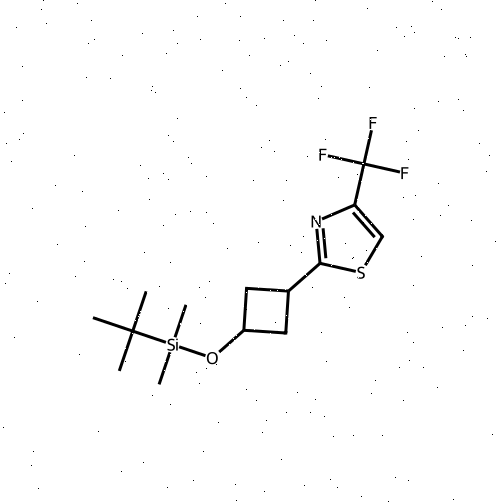 CC(C)(C)[Si](C)(C)OC1CC(c2nc(C(F)(F)F)cs2)C1